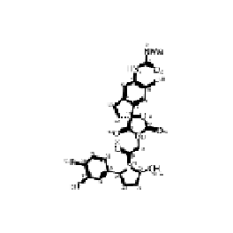 CNC(=O)Nc1cc2c(cc1F)[C@@]1(CC2)OC(=O)N(CC(=O)N2[C@@H](C)CC[C@H]2c2ccc(F)c(F)c2)C1=O